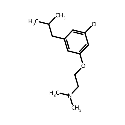 CC(C)Cc1cc(Cl)cc(OCCN(C)C)c1